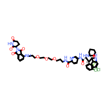 O=C1CCC(N2C(=O)c3cccc(NCCCOCCOCCOCCCNC(=O)c4ccc(NC(=O)[C@@H]5NC6(CCCCC6)[C@@]6(C(=O)Nc7cc(Cl)ccc76)[C@H]5c5cccc(Cl)c5F)cn4)c3C2=O)C(=O)N1